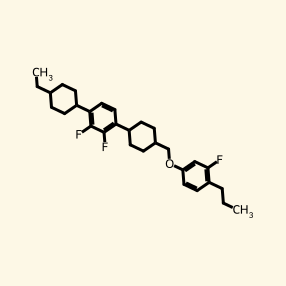 CCCc1ccc(OCC2CCC(c3ccc(C4CCC(CC)CC4)c(F)c3F)CC2)cc1F